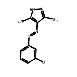 Nc1n[nH]c(N)c1N=Nc1cccc(Cl)c1